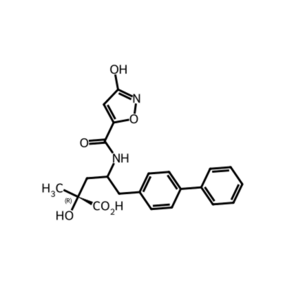 C[C@@](O)(CC(Cc1ccc(-c2ccccc2)cc1)NC(=O)c1cc(O)no1)C(=O)O